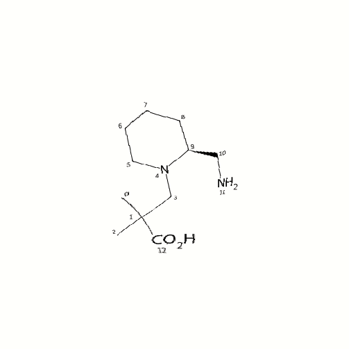 CC(C)(CN1CCCC[C@H]1CN)C(=O)O